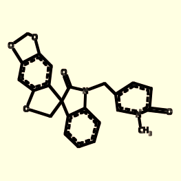 Cn1cc(CN2C(=O)C3(COc4cc5c(cc43)OCO5)c3ccccc32)ccc1=O